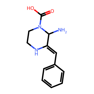 NC1C(=Cc2ccccc2)NCCN1C(=O)O